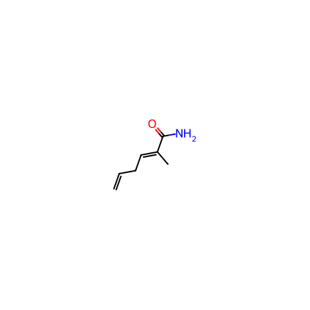 C=CC/C=C(\C)C(N)=O